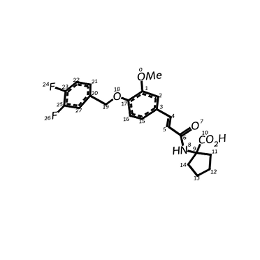 COc1cc(C=CC(=O)NC2(C(=O)O)CCCC2)ccc1OCc1ccc(F)c(F)c1